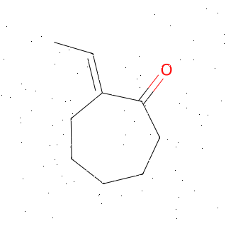 C/C=C1\CCCCCC1=O